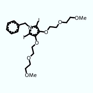 COCCOCCOc1c(OCCOCCOC)c(I)n(Cc2ccccc2)c1I